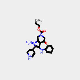 COCCOC(=O)N1CC(=O)c2c(Nc3ccccc3)c(C3=CCNC=C3)n(N)c2C1